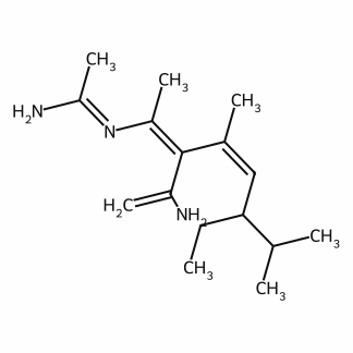 C=C(N)C(/C(C)=C\C(CC)C(C)C)=C(C)\N=C(/C)N